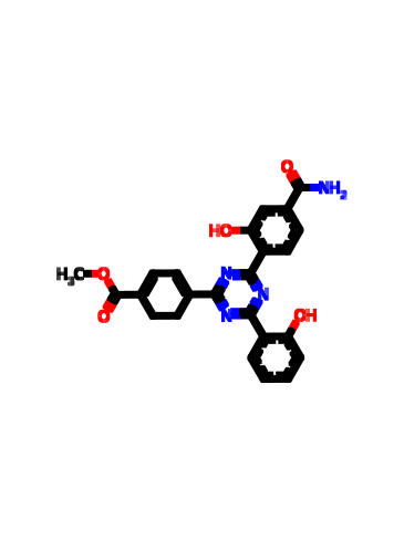 COC(=O)C1=CC=C(c2nc(-c3ccccc3O)nc(-c3ccc(C(N)=O)cc3O)n2)CC1